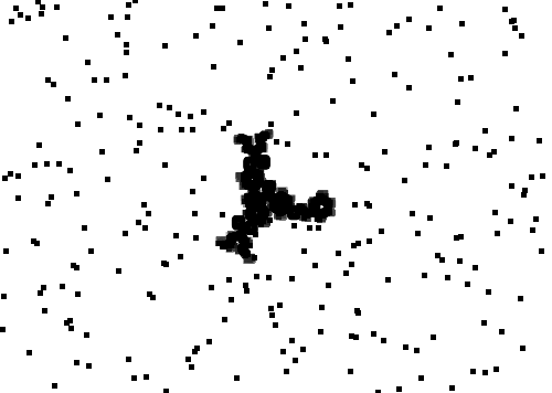 CCCC(CCC)C(=O)Oc1ccc(-c2sc3cc(OC(=O)C(CCC)CCC)ccc3c2C(=O)c2ccc(OCCN3CCCCC3)cc2)cc1